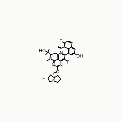 C=Cc1c(F)ccc2cc(O)cc(-c3nc4c5c(nc(OC[C@@]67CCCN6C[C@H](F)C7)nc5c3F)N(C)[C@@H](C(C)(C)O)C4)c12